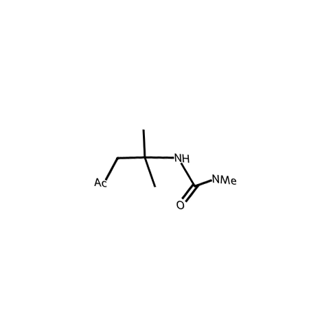 CNC(=O)NC(C)(C)CC(C)=O